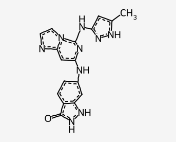 Cc1cc(Nc2nc(Nc3ccc4c(=O)[nH][nH]c4c3)cc3nccn23)n[nH]1